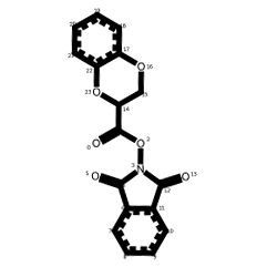 O=C(ON1C(=O)c2ccccc2C1=O)C1COc2ccccc2O1